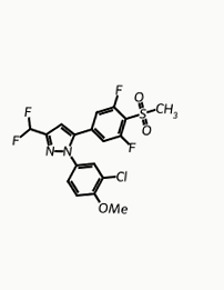 COc1ccc(-n2nc(C(F)F)cc2-c2cc(F)c(S(C)(=O)=O)c(F)c2)cc1Cl